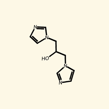 OC(Cn1ccnc1)Cn1ccnc1